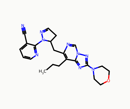 CCCc1c(CC2CC=NN2c2ncccc2C#N)ncn2nc(N3CCOCC3)nc12